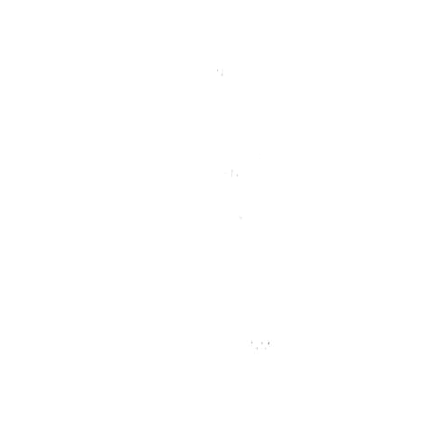 CNCc1cc(Cl)ccc1-c1ccc([C@@H](C)NC(=O)c2ccc(=O)n(-c3ccccc3F)c2)s1